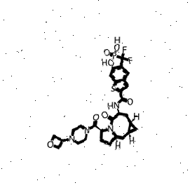 O=C(N[C@H]1C[C@@H]2C[C@@H]2C[C@H]2CC[C@@H](C(=O)N3CCN(C4COC4)CC3)N2C1=O)c1cc2cc(C(F)(F)P(=O)(O)O)ccc2s1